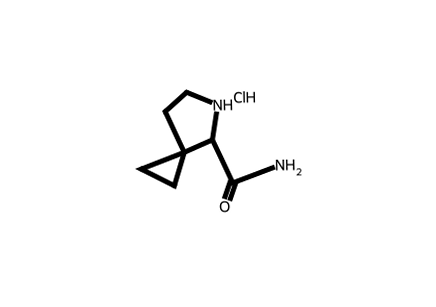 Cl.NC(=O)C1NCCC12CC2